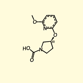 COc1cccc(O[C@H]2CCN(C(=O)O)C2)n1